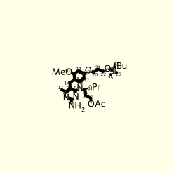 CCC[C@@H](CCOC(C)=O)Nc1nc(N)nc(C)c1Cc1ccc(OCCCO[Si](C)(C)C(C)(C)C)cc1OC